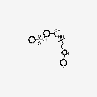 CC(C)(CCn1cnc(-c2ccncc2)c1)NCC(O)c1cccc(NS(=O)(=O)c2ccccc2)c1